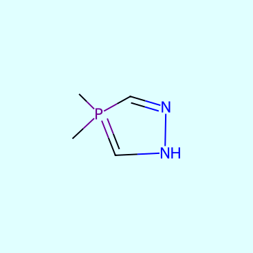 CP1(C)=CNN=C1